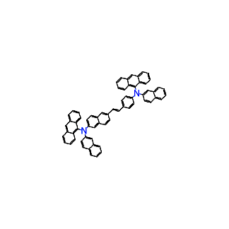 C(=C\c1ccc2cc(N(c3ccc4ccccc4c3)c3c4ccccc4cc4ccccc34)ccc2c1)/c1ccc(N(c2ccc3ccccc3c2)c2c3ccccc3cc3ccccc23)cc1